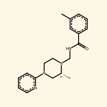 Cc1cccc(C(=O)NCN2CCN(c3ccccn3)C[C@H]2C)c1